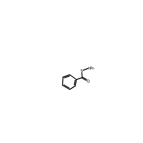 CC[CH]SC(=O)c1ccccc1